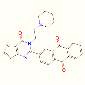 O=C1c2ccccc2C(=O)c2cc(-c3nc4ccsc4c(=O)n3CCN3CCCCC3)ccc21